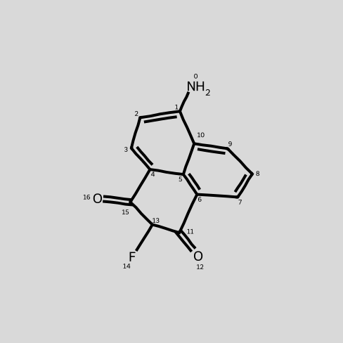 Nc1ccc2c3c(cccc13)C(=O)C(F)C2=O